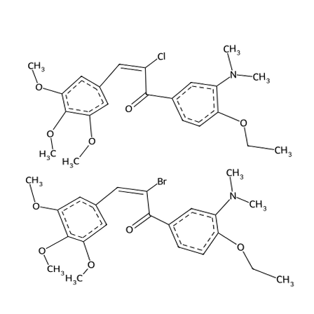 CCOc1ccc(C(=O)/C(Br)=C\c2cc(OC)c(OC)c(OC)c2)cc1N(C)C.CCOc1ccc(C(=O)/C(Cl)=C\c2cc(OC)c(OC)c(OC)c2)cc1N(C)C